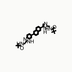 CC(C)(C)C(=O)NCc1ncc(-c2ccc3cc(-c4ccc5nc(CNC(=O)C(C)(C)C)[nH]c5c4)ccc3c2)[nH]1